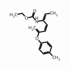 C=C(/C=C\C(=C/C)NC(=O)OCC)Oc1ccc(C)cc1